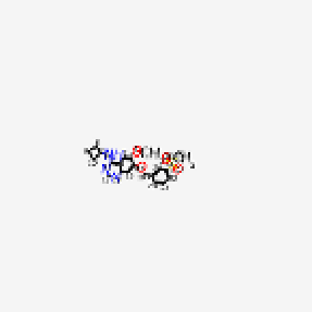 COc1cc2c(NC3CCC3)ncnc2cc1OCc1cccc(S(C)(=O)=O)c1